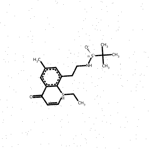 CC[SH]1C=CC(=O)c2cc(C)cc(CCN[S@+]([O-])C(C)(C)C)c21